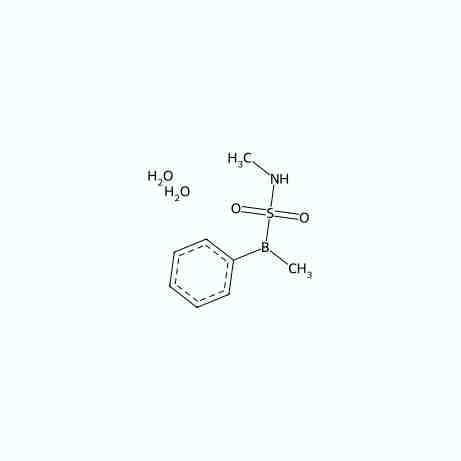 CNS(=O)(=O)B(C)c1ccccc1.O.O